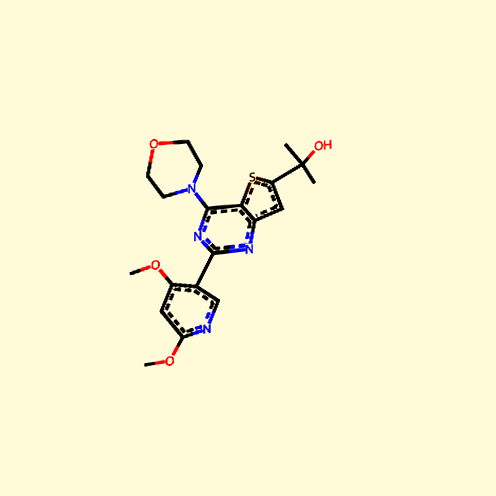 COc1cc(OC)c(-c2nc(N3CCOCC3)c3sc(C(C)(C)O)cc3n2)cn1